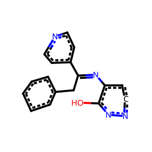 Oc1nnccc1N=C(Cc1ccccc1)c1ccncc1